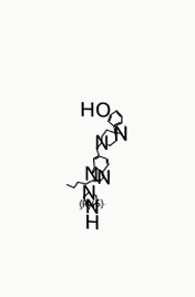 CCCC(c1cnc2ccc(CN3CCC(c4cccc(O)c4)(N(C)C)CC3)cc2n1)N1C[C@@H](C)N[C@@H](C)C1